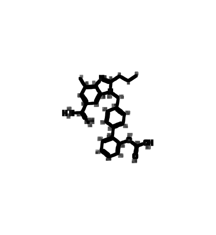 CCCc1nc2c(C)cc(C(=N)N)cc2n1Cc1ccc(-c2ccccc2OC(=O)O)cc1